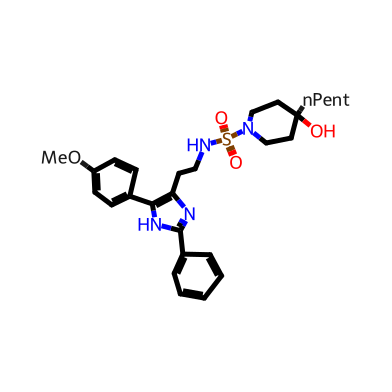 CCCCCC1(O)CCN(S(=O)(=O)NCCc2nc(-c3ccccc3)[nH]c2-c2ccc(OC)cc2)CC1